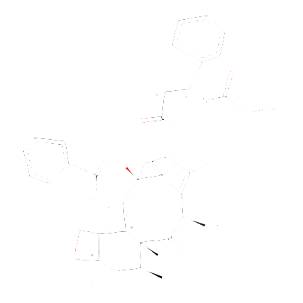 CC(=O)O[C@H]1C(=O)[C@@]2(C)[C@H]([C@H](OC(=O)c3ccccc3)[C@]3(O)C[C@H](OC(=O)[C@H](C)[C@@H](NC(=O)OC(C)(C)C)c4ccccc4)C(C)=C1C3(C)C)[C@]1(OC(C)=O)CO[C@@H]1C[C@@H]2C